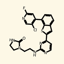 O=C1NCCN1CCNc1nccc(-c2cc3cccc(-c4cc(F)ncc4Cl)c3s2)n1